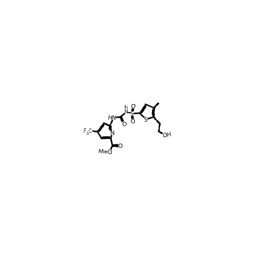 COC(=O)c1cc(C(F)(F)F)cc(NC(=O)NS(=O)(=O)c2cc(C)c(CCO)s2)n1